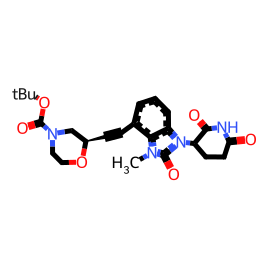 Cn1c(=O)n(C2CCC(=O)NC2=O)c2cccc(C#C[C@@H]3CN(C(=O)OC(C)(C)C)CCO3)c21